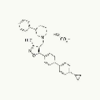 Cc1noc(-c2ccc(-c3ccc(C4CC4)cc3)cc2)c1CN1CCCC(c2ccccc2)C1.O=C(O)O